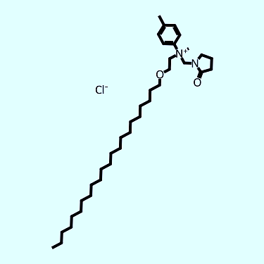 CCCCCCCCCCCCCCCCCCCCCCOCC[N+](C)(CN1CCCC1=O)c1ccc(C)cc1.[Cl-]